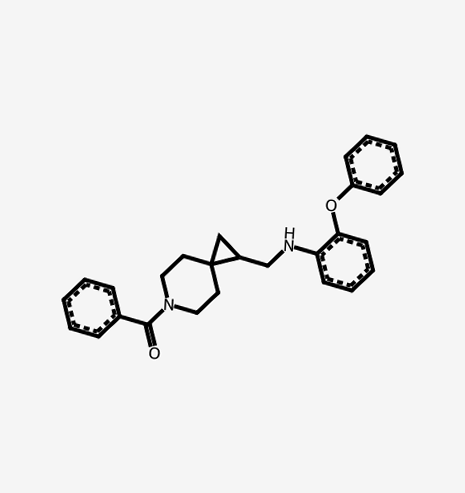 O=C(c1ccccc1)N1CCC2(CC1)CC2CNc1ccccc1Oc1ccccc1